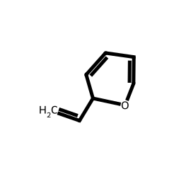 C=CC1C=CC=CO1